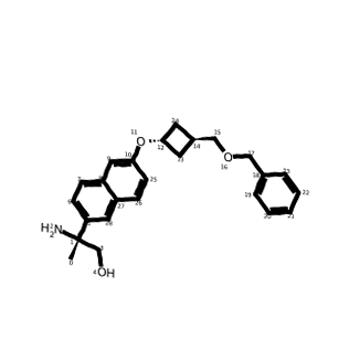 C[C@](N)(CO)c1ccc2cc(O[C@H]3C[C@H](COCc4ccccc4)C3)ccc2c1